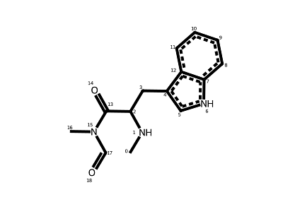 CNC(Cc1c[nH]c2ccccc12)C(=O)N(C)C=O